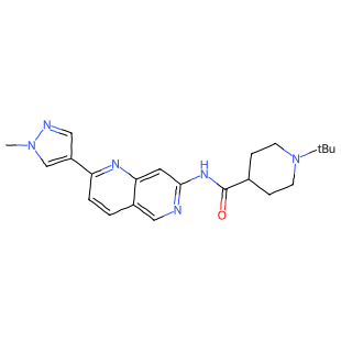 Cn1cc(-c2ccc3cnc(NC(=O)C4CCN(C(C)(C)C)CC4)cc3n2)cn1